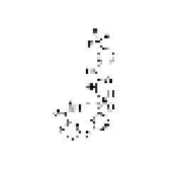 CNC(=O)c1cc(Oc2ccc3c(c2)[C@H]2C(NC(=O)Nc4cccc(C(F)(F)F)c4)[C@H]2O3)ccn1